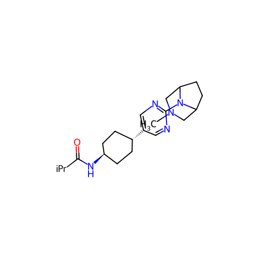 CC(C)C(=O)N[C@H]1CC[C@H](c2cnc(N3C4CCC3CN(C)C4)nc2)CC1